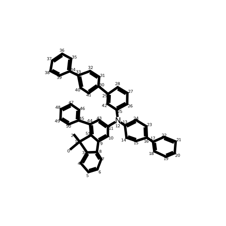 CC1(C)c2ccccc2-c2cc(N(c3ccc(-c4ccccc4)cc3)c3cccc(-c4ccc(-c5ccccc5)cc4)c3)cc(-c3ccccc3)c21